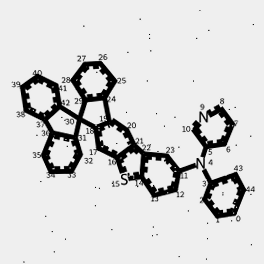 c1ccc(N(c2cccnc2)c2ccc3sc4cc5c(cc4c3c2)-c2ccccc2C52c3ccccc3-c3ccccc32)cc1